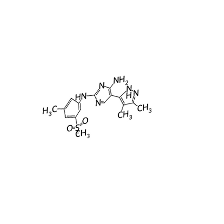 Cc1cc(Nc2ncc(-c3[nH]nc(C)c3C)c(N)n2)cc(S(C)(=O)=O)c1